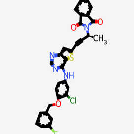 C[C@@H](C#Cc1cc2ncnc(Nc3ccc(OCc4cccc(F)c4)c(Cl)c3)c2s1)N1C(=O)c2ccccc2C1=O